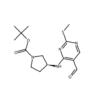 CSc1ncc(C=O)c(N[C@H]2CCN(C(=O)OC(C)(C)C)C2)n1